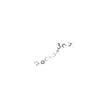 CC(C)NC(=O)C1(C(C)C)CCN(c2ccc(-c3cc(-c4cnn(C5CCN(C(=O)CN6CCC(c7ccc(NC8CCC(=O)NC8=O)cc7F)CC6)CC5)c4)cn4ncc(C#N)c34)cn2)CC1